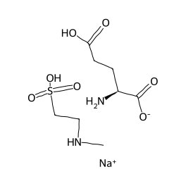 CNCCS(=O)(=O)O.N[C@@H](CCC(=O)O)C(=O)[O-].[Na+]